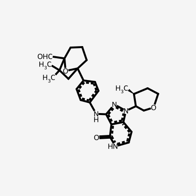 C[C@H]1CCOCC1n1nc(Nc2ccc(C34CCCC(C=O)(O3)C(C)(C)C4)cc2)c2c(=O)[nH]ccc21